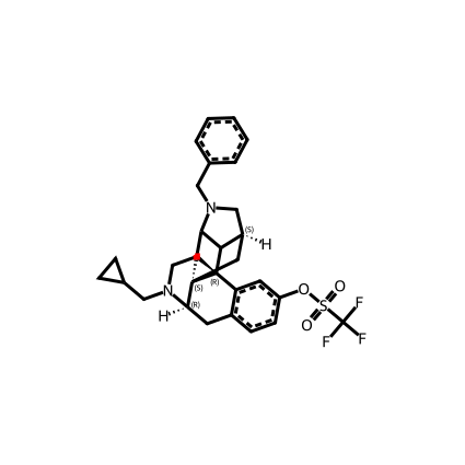 O=S(=O)(Oc1ccc2c(c1)[C@]13CCN(CC4CC4)[C@H](C2)[C@]12CCC1C3[C@@H](CN1Cc1ccccc1)C2)C(F)(F)F